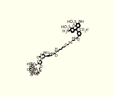 [N-]=[N+]=NCO[C@H]1C[C@H](N2CC(C#CCNC(=O)NCCCCCOCSSCCNC(=O)c3ccc(C(=O)O)c(-c4c5ccc(=N)c(S(=O)(=O)O)c-5oc5c(S(=O)(=O)O)c(N)ccc45)c3)C(N)=NC2=O)O[C@@H]1COP(=O)(O)OP(=O)(O)OP(=O)(O)O